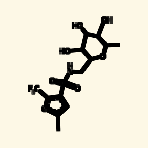 Cc1cc(S(=O)(=O)NCC2OC(C)C(O)C(O)C2O)c(C(F)(F)F)o1